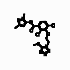 CSc1nnnn1CCOc1c(Cl)ccc(C(=O)Oc2cc(C)nn2C)c1Cl